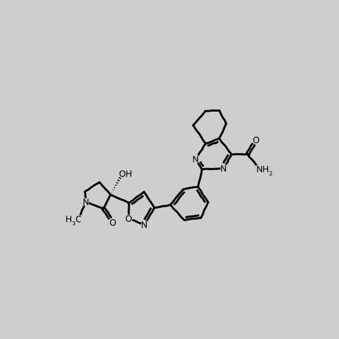 CN1CC[C@@](O)(c2cc(-c3cccc(-c4nc5c(c(C(N)=O)n4)CCCC5)c3)no2)C1=O